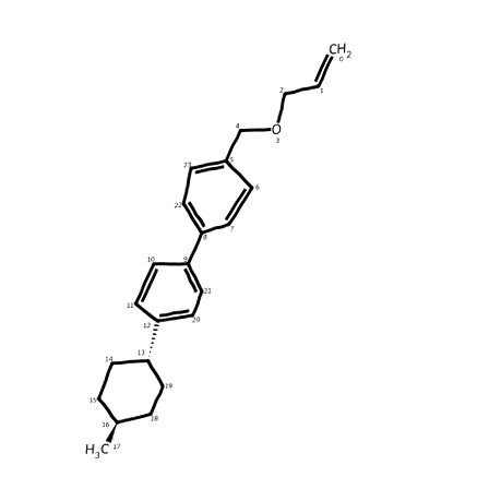 C=CCOCc1ccc(-c2ccc([C@H]3CC[C@H](C)CC3)cc2)cc1